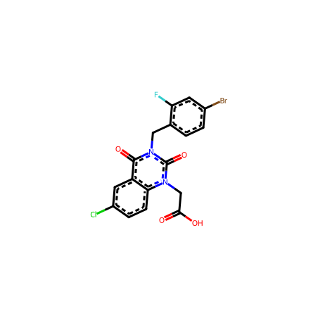 O=C(O)Cn1c(=O)n(Cc2ccc(Br)cc2F)c(=O)c2cc(Cl)ccc21